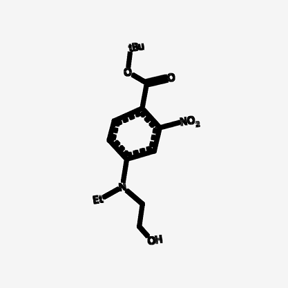 CCN(CCO)c1ccc(C(=O)OC(C)(C)C)c([N+](=O)[O-])c1